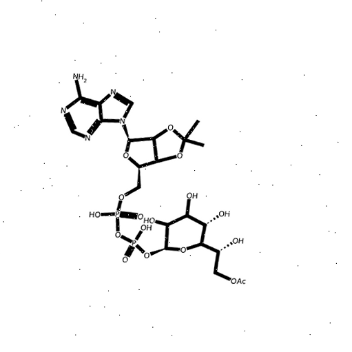 CC(=O)OC[C@@H](O)C1O[C@@H](OP(=O)(O)OP(=O)(O)OC[C@H]2O[C@@H](n3cnc4c(N)ncnc43)C3OC(C)(C)OC32)C(O)C(O)[C@@H]1O